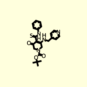 CC(C)(C)OC(=O)N1CC(=O)C(C(=S)Nc2ccccc2)=C(NCc2ccncc2)C1